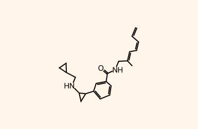 C=C/C=C\C=C(/C)CNC(=O)c1cccc(C2CC2NCC2CC2)c1